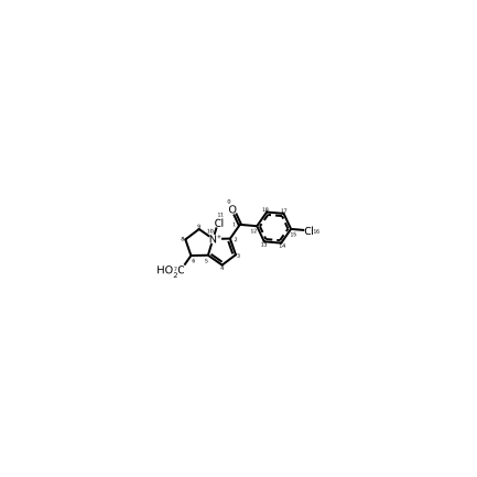 O=C(C1=CC=C2C(C(=O)O)CC[N+]12Cl)c1ccc(Cl)cc1